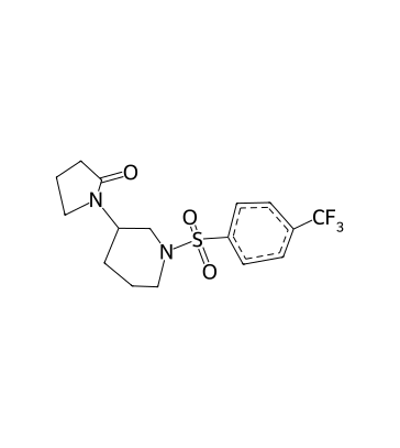 O=C1CCCN1C1CCCN(S(=O)(=O)c2ccc(C(F)(F)F)cc2)C1